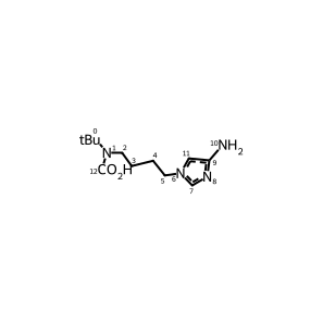 CC(C)(C)N(CCCCn1cnc(N)c1)C(=O)O